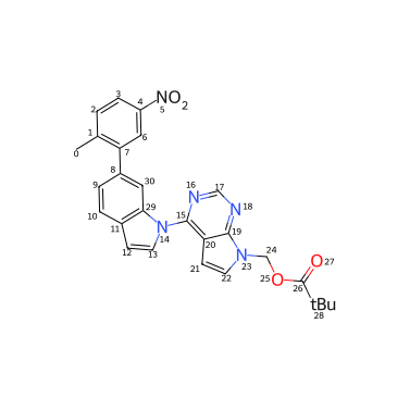 Cc1ccc([N+](=O)[O-])cc1-c1ccc2ccn(-c3ncnc4c3ccn4COC(=O)C(C)(C)C)c2c1